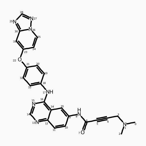 CN(C)CC#CC(=O)Nc1ccc2ncnc(Nc3ccc(Oc4ccn5ncnc5c4)cc3)c2c1